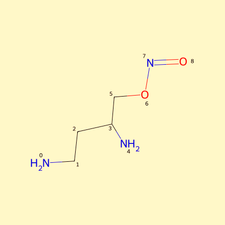 NCCC(N)CON=O